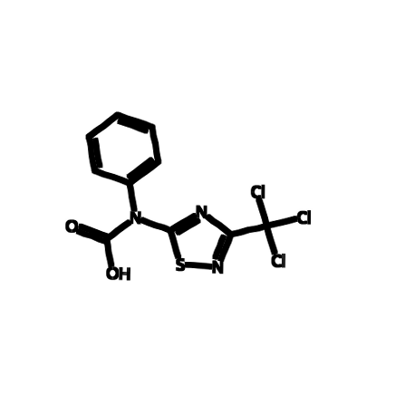 O=C(O)N(c1ccccc1)c1nc(C(Cl)(Cl)Cl)ns1